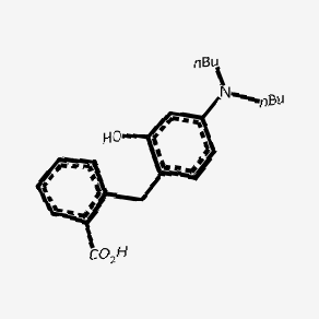 CCCCN(CCCC)c1ccc(Cc2ccccc2C(=O)O)c(O)c1